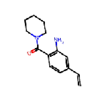 C=Cc1ccc(C(=O)N2CCCCC2)c(N)c1